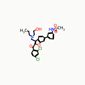 CCCN(CCO)Cc1c(C(=O)c2ccc(Cl)cc2Cl)oc2cc(-c3cccc(NS(C)(=O)=O)c3)ccc12